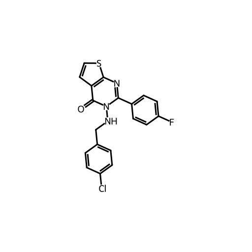 O=c1c2ccsc2nc(-c2ccc(F)cc2)n1NCc1ccc(Cl)cc1